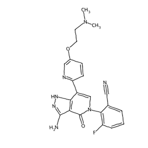 CN(C)CCOc1ccc(-c2cn(-c3c(F)cccc3C#N)c(=O)c3c(N)n[nH]c23)nc1